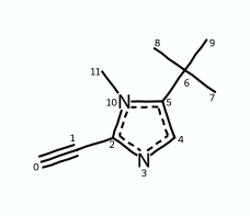 C#Cc1ncc(C(C)(C)C)n1C